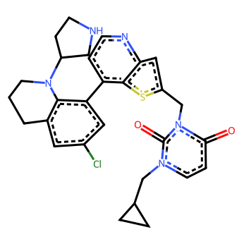 O=c1ccn(CC2CC2)c(=O)n1Cc1cc2nccc(-c3cc(Cl)cc4c3N(C3CCNC3)CCC4)c2s1